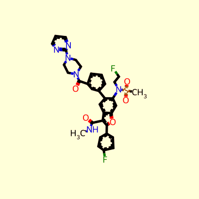 CNC(=O)c1c(-c2ccc(F)cc2)oc2cc(N(CCF)S(C)(=O)=O)c(-c3cccc(C(=O)N4CCN(c5ncccn5)CC4)c3)cc12